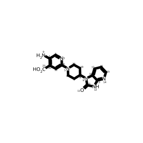 Nc1cnc(N2CCC(n3c(=O)[nH]c4ncccc43)CC2)cc1C(=O)O